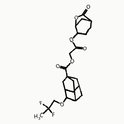 CC(F)(F)COC1C2CC3CC1CC(C(=O)OCC(=O)OC1CCC4CC1OC4=O)(C3)C2